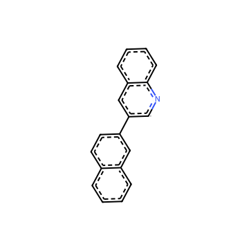 [c]1nc2ccccc2cc1-c1ccc2ccccc2c1